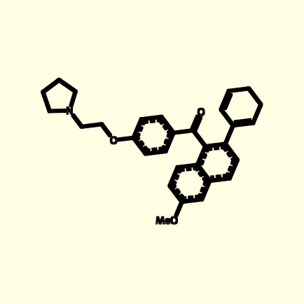 COc1ccc2c(C(=O)c3ccc(OCCN4CCCC4)cc3)c(C3=CCCC=C3)ccc2c1